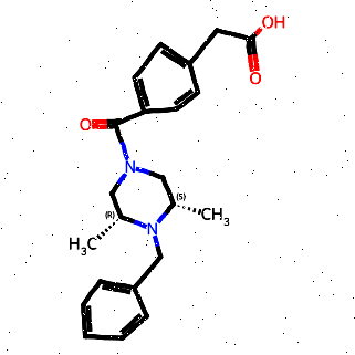 C[C@@H]1CN(C(=O)c2ccc(CC(=O)O)cc2)C[C@H](C)N1Cc1ccccc1